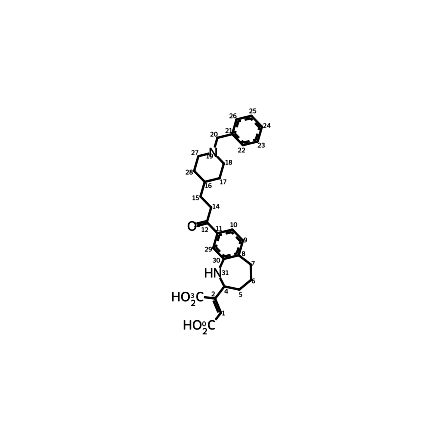 O=C(O)C=C(C(=O)O)C1CCCc2ccc(C(=O)CCC3CCN(Cc4ccccc4)CC3)cc2N1